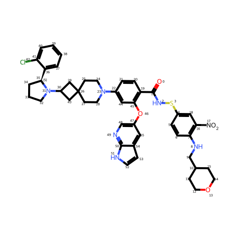 O=C(NSc1ccc(NCC2CCOCC2)c([N+](=O)[O-])c1)c1ccc(N2CCC3(CC2)CC(N2CCC[C@H]2c2ccccc2Cl)C3)cc1Oc1cnc2[nH]ccc2c1